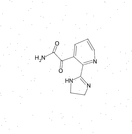 NC(=O)C(=O)c1cccnc1C1=NCCN1